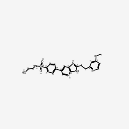 COc1ccnc(CCc2nc3cc(-c4ccc(S(=O)(=O)NCCO)cc4)cnc3[nH]2)c1